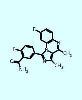 Cc1nc(-c2ccc(F)c(C(N)=O)c2)n2c1c(C)nc1ccc(F)cc12